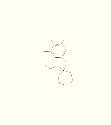 CC(=O)OCCC1(Sc2cc(C(C)(C)C)c(O)c(C(C)(C)C)c2)CCNCC1.Cl